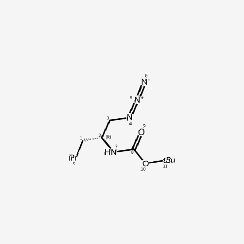 CC(C)C[C@H](CN=[N+]=[N-])NC(=O)OC(C)(C)C